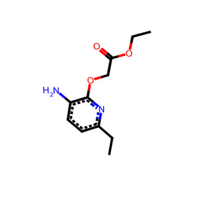 CCOC(=O)COc1nc(CC)ccc1N